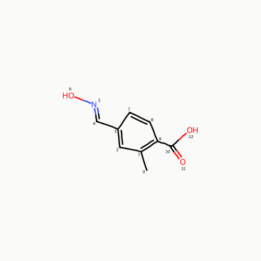 Cc1cc(C=NO)ccc1C(=O)O